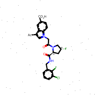 CC(=O)c1cn(CC(=O)N2C[C@H](F)C[C@H]2C(=O)NCc2cccc(Cl)c2F)c2ccc(C(=O)O)cc12